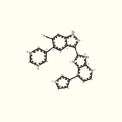 Fc1cc2[nH]nc(-c3nc4c(-c5ccsc5)ccnc4[nH]3)c2cc1-c1cncnc1